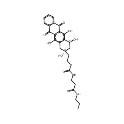 CCCNC(=O)CCNC(=O)OCC[C@@]1(O)Cc2c(O)c3c(c(O)c2[C@@H](O)C1)C(=O)c1ccccc1C3=O